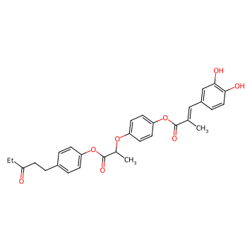 CCC(=O)CCc1ccc(OC(=O)C(C)Oc2ccc(OC(=O)C(C)=Cc3ccc(O)c(O)c3)cc2)cc1